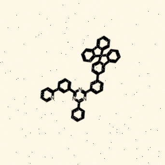 c1ccc(-c2nc(-c3cccc(-c4ccc5c(c4)-c4ccccc4C54c5ccccc5-c5ccccc54)c3)nc(-c3cccc(-c4ccccn4)c3)n2)cc1